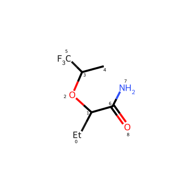 CCC(OC(C)C(F)(F)F)C(N)=O